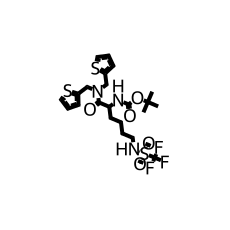 CC(C)(C)OC(=O)NC(CCCCNS(=O)(=O)C(F)(F)F)C(=O)N(Cc1cccs1)Cc1cccs1